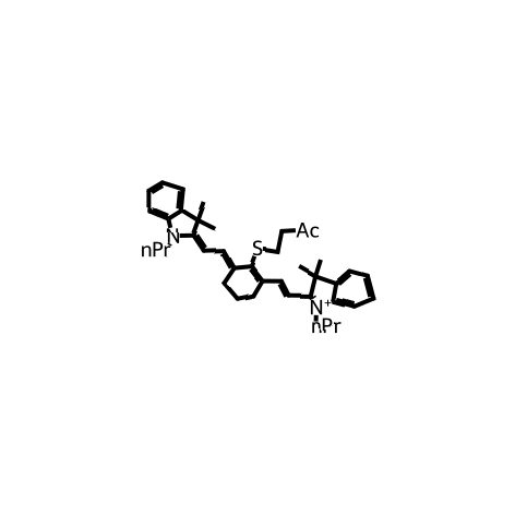 CCCN1/C(=C/C=C2\CCCC(/C=C/C3=[N+](CCC)c4ccccc4C3(C)C)=C2SCCC(C)=O)C(C)(C)c2ccccc21